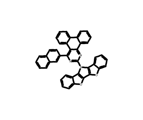 c1ccc2cc(-c3nc(-n4c5c6ccccc6oc5c5oc6ccccc6c54)nc4c5ccccc5c5ccccc5c34)ccc2c1